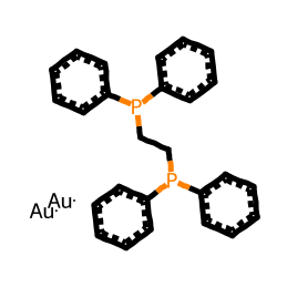 [Au].[Au].c1ccc(P(CCP(c2ccccc2)c2ccccc2)c2ccccc2)cc1